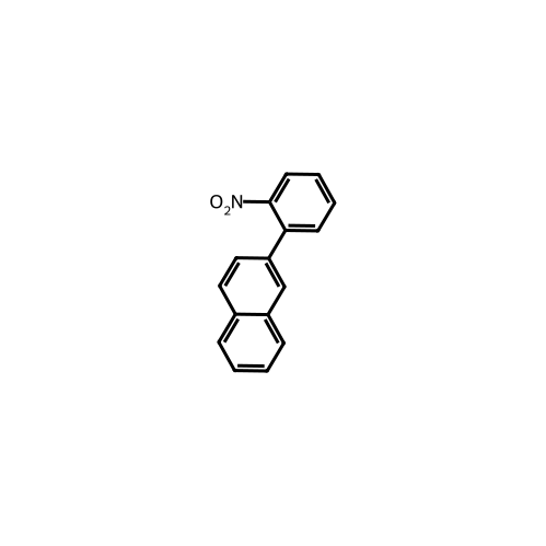 O=[N+]([O-])c1ccccc1-c1ccc2ccccc2c1